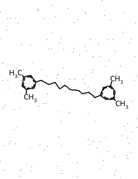 Cc1cc(C)cc(CCCCCCCCCCc2cc(C)cc(C)c2)c1